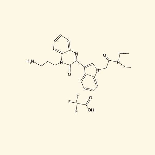 CCN(CC)C(=O)Cn1cc(-c2nc3ccccc3n(CCCN)c2=O)c2ccccc21.O=C(O)C(F)(F)F